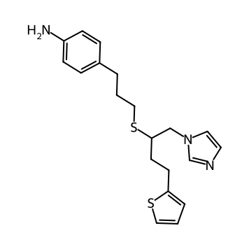 Nc1ccc(CCCSC(CCc2cccs2)Cn2ccnc2)cc1